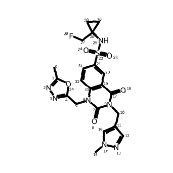 Cc1nnc(Cn2c(=O)n(Cc3cnn(C)c3)c(=O)c3cc(S(=O)(=O)NC4(CF)CC4)ccc32)o1